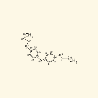 C=CCSc1ccc(Sc2ccc(SCC=C)cc2)cc1